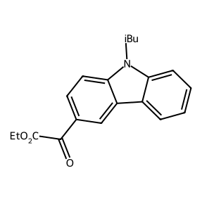 CCOC(=O)C(=O)c1ccc2c(c1)c1ccccc1n2C(C)CC